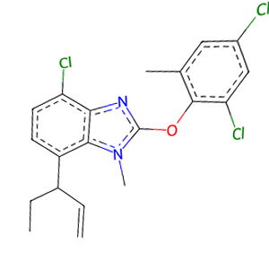 C=CC(CC)c1ccc(Cl)c2nc(Oc3c(C)cc(Cl)cc3Cl)n(C)c12